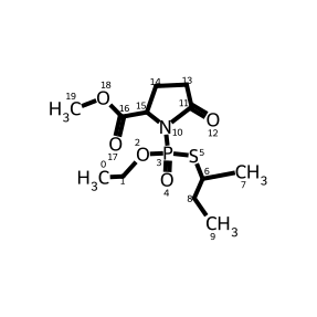 CCOP(=O)(SC(C)CC)N1C(=O)CCC1C(=O)OC